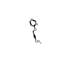 CC#CCOc1ccn[c]n1